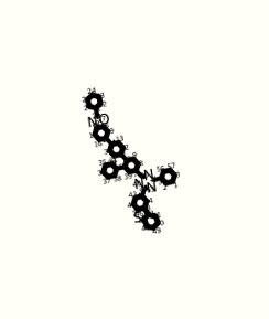 c1ccc(-c2nc(-c3ccc(-c4ccc(-c5ccc6nc(-c7ccccc7)oc6c5)cc4)c(-c4ccccc4)c3)nc(-c3ccc4sc5ccccc5c4c3)n2)cc1